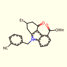 CCC1CC(=O)c2c(n(Cc3cccc(C#N)c3)c3cccc(C(=O)OC)c23)C1